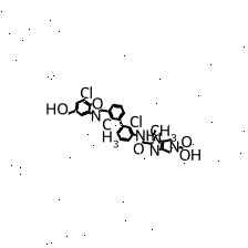 Cc1c(-c2nc3cc(CO)cc(Cl)c3o2)cccc1-c1cccc(NC(=O)c2nc3c(n2C)CN(C(=O)O)C3)c1Cl